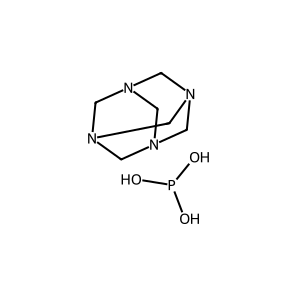 C1N2CN3CN1CN(C2)C3.OP(O)O